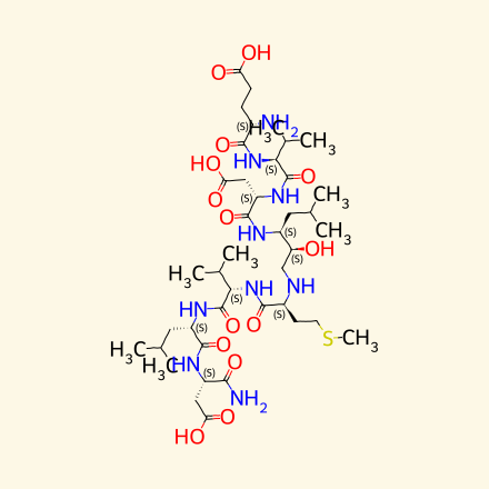 CSCC[C@H](NC[C@H](O)[C@H](CC(C)C)NC(=O)[C@H](CC(=O)O)NC(=O)[C@@H](NC(=O)[C@@H](N)CCC(=O)O)C(C)C)C(=O)N[C@H](C(=O)N[C@@H](CC(C)C)C(=O)N[C@@H](CC(=O)O)C(N)=O)C(C)C